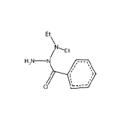 CCN(CC)N(N)C(=O)c1ccccc1